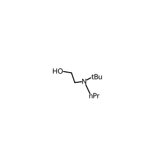 CCCN(CCO)C(C)(C)C